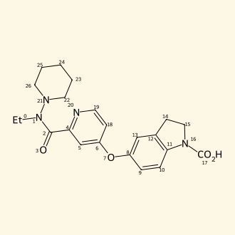 CCN(C(=O)c1cc(Oc2ccc3c(c2)CCN3C(=O)O)ccn1)N1CCCCC1